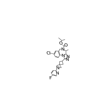 CC(C)OC(=O)N1Cc2cc(Cl)ccc2-n2c(C3CC4(C3)CN(c3ccc(F)cn3)C4)nnc2C1C